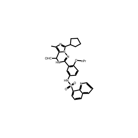 CCCOc1ccc(NS(=O)(=O)c2cccc3cccnc23)cc1C1=Nn2c(C3CCCC3)nc(C)c2C(C=O)N1